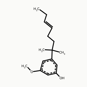 CCC=CCCC(C)(C)c1cc(O)cc(OC)c1